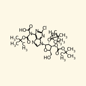 CC(C)(C)OC(=O)O[C@@H]1[C@@H](O[Si](C)(C)C(C)(C)C)[C@H](n2cnc3c(N(C(=O)O)C(=O)OC(C)(C)C)nc(Cl)nc32)O[C@@H]1CO